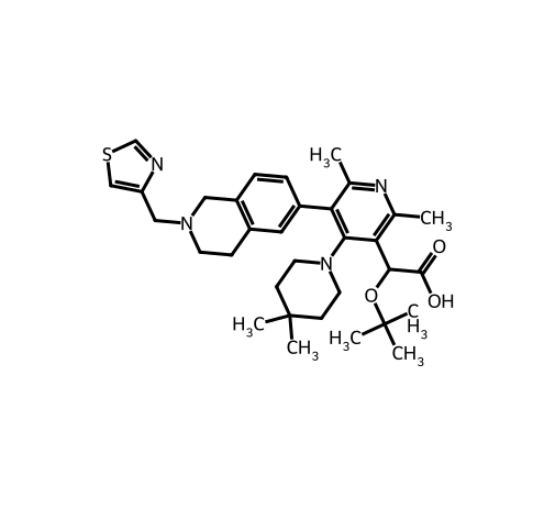 Cc1nc(C)c(C(OC(C)(C)C)C(=O)O)c(N2CCC(C)(C)CC2)c1-c1ccc2c(c1)CCN(Cc1cscn1)C2